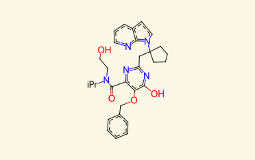 CC(C)N(CCO)C(=O)c1nc(CC2(n3ccc4cccnc43)CCCC2)nc(O)c1OCc1ccccc1